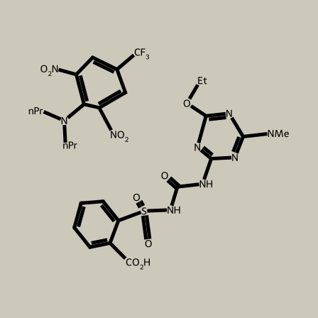 CCCN(CCC)c1c([N+](=O)[O-])cc(C(F)(F)F)cc1[N+](=O)[O-].CCOc1nc(NC)nc(NC(=O)NS(=O)(=O)c2ccccc2C(=O)O)n1